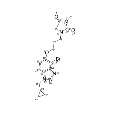 CN1C(=O)CN(CCCOc2ccc3c(nnn3CC3CC3)c2Br)C1=O